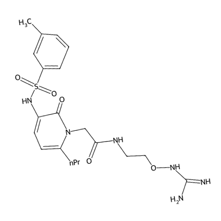 CCCc1ccc(NS(=O)(=O)c2cccc(C)c2)c(=O)n1CC(=O)NCCONC(=N)N